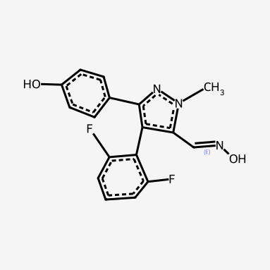 Cn1nc(-c2ccc(O)cc2)c(-c2c(F)cccc2F)c1/C=N/O